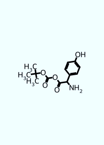 CC(C)(C)OC(=O)OC(=O)C(N)c1ccc(O)cc1